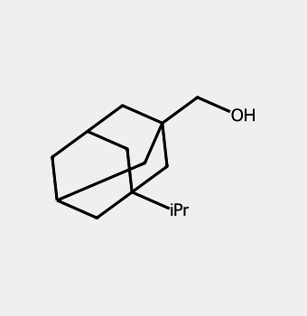 CC(C)C12CC3CC(CC(CO)(C3)C1)C2